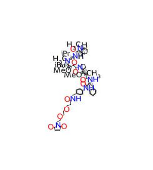 CC[C@H](C)[C@@H]([C@@H](CC(=O)N1CCC[C@H]1[C@H](OC)[C@@H](C)C(=O)N[C@@H](Cc1ccccc1)C(=O)Nc1ccc(CNC(=O)CCOCCOCCN2C(=O)C=CC2=O)cc1)OC)N(C)C(=O)[C@@H](NC(=O)[C@@H]1[C@H]2CC[C@H](C2)N1C)C(C)C